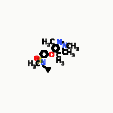 CCN(C)/C=N\c1cc(C)c(Oc2cccc(S(C)(=O)=NCC3CC3)c2)cc1C